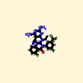 CCN(c1nc(N)nc(N)c1C#N)c1nc2cccc(F)c2c(=O)n1-c1cc(F)cc(C(F)F)c1